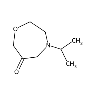 CC(C)N1CCOCC(=O)C1